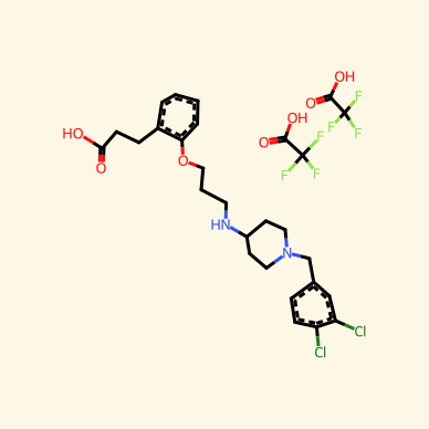 O=C(O)C(F)(F)F.O=C(O)C(F)(F)F.O=C(O)CCc1ccccc1OCCCNC1CCN(Cc2ccc(Cl)c(Cl)c2)CC1